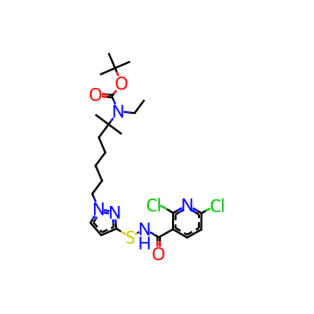 CCN(C(=O)OC(C)(C)C)C(C)(C)CCCCCn1ccc(SNC(=O)c2ccc(Cl)nc2Cl)n1